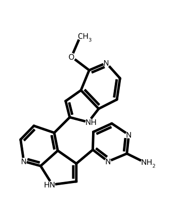 COc1nccc2[nH]c(-c3ccnc4[nH]cc(-c5ccnc(N)n5)c34)cc12